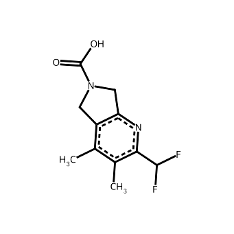 Cc1c(C(F)F)nc2c(c1C)CN(C(=O)O)C2